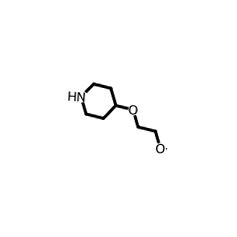 [O]CCOC1CCNCC1